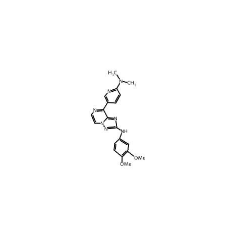 COc1ccc(Nc2nc3c(-c4ccc(N(C)C)nc4)nccn3n2)cc1OC